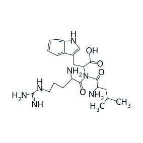 CC(C)CC(N)C(=O)N(C(=O)C(N)CCCNC(=N)N)C(Cc1c[nH]c2ccccc12)C(=O)O